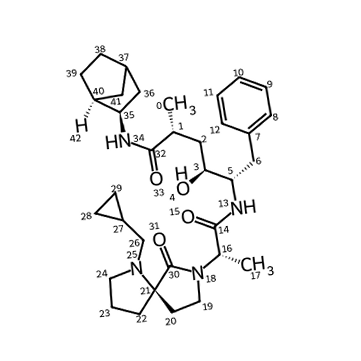 C[C@H](C[C@H](O)[C@H](Cc1ccccc1)NC(=O)[C@H](C)N1CC[C@]2(CCCN2CC2CC2)C1=O)C(=O)N[C@@H]1CC2CC[C@H]1C2